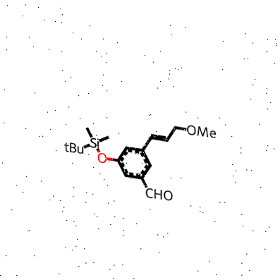 COCC=Cc1cc(C=O)cc(O[Si](C)(C)C(C)(C)C)c1